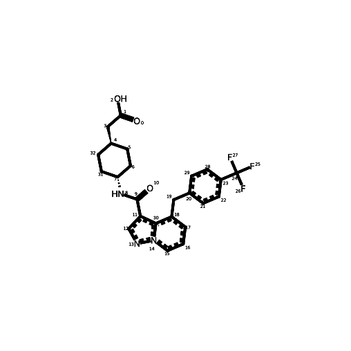 O=C(O)C[C@H]1CC[C@H](NC(=O)c2cnn3cccc(Cc4ccc(C(F)(F)F)cc4)c23)CC1